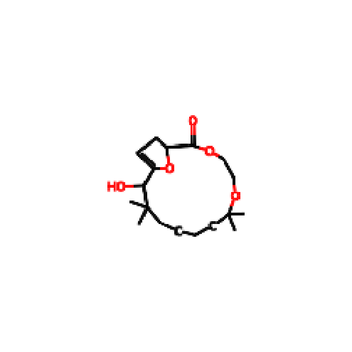 CC1(C)CCCCC(C)(C)C(O)C2=CCC(C)(O2)C(=O)OCCO1